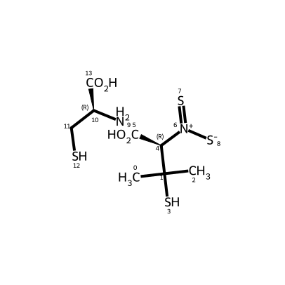 CC(C)(S)[C@@H](C(=O)O)[N+](=S)[S-].N[C@@H](CS)C(=O)O